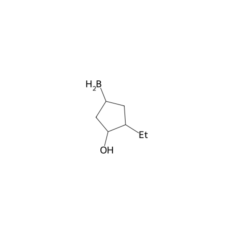 BC1CC(O)C(CC)C1